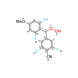 COc1cc(F)c(C(OO)c2cc(F)c(C#N)c(F)c2)c(F)c1